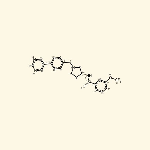 [O-][S+](N[C@@H]1CCN(Cc2ccc(-c3cncnc3)cc2)C1)c1cccc(OC(F)(F)F)c1